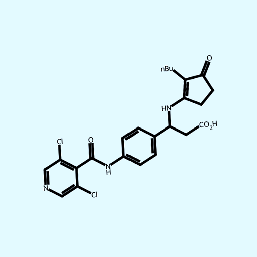 CCCCC1=C(NC(CC(=O)O)c2ccc(NC(=O)c3c(Cl)cncc3Cl)cc2)CCC1=O